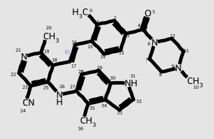 Cc1cc(C(=O)N2CCN(C)CC2)ccc1/C=C/c1c(C)ncc(C#N)c1Nc1ccc2[nH]ccc2c1C